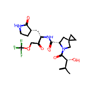 CC(C)[C@@H](O)C(=O)N1CC2(CC2)C[C@H]1C(=O)N[C@@H](C[C@@H]1CCNC1=O)C(=O)COC(F)(F)F